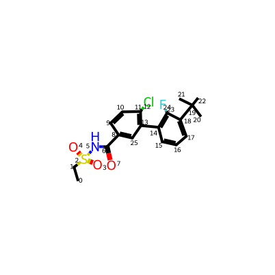 CCS(=O)(=O)NC(=O)c1ccc(Cl)c(-c2cccc(C(C)(C)C)c2F)c1